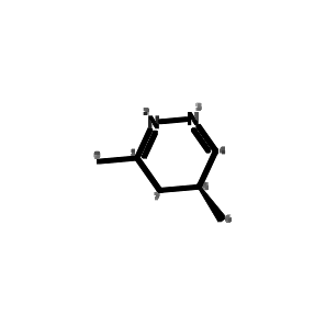 CC1=NN=C[C@@H](C)C1